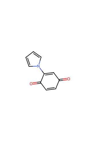 O=C1C=CC(=O)C(n2cccc2)=C1